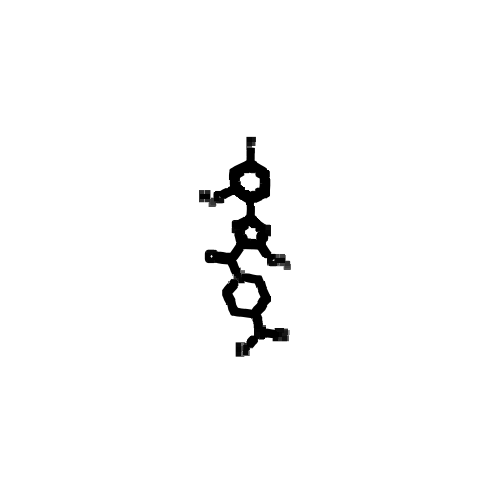 CCN(CC)C1CCN(C(=O)c2sc(-c3ccc(F)cc3C)nc2C)CC1